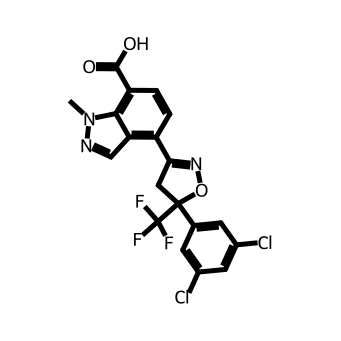 Cn1ncc2c(C3=NOC(c4cc(Cl)cc(Cl)c4)(C(F)(F)F)C3)ccc(C(=O)O)c21